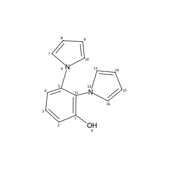 Oc1cccc(-n2cccc2)c1-n1cccc1